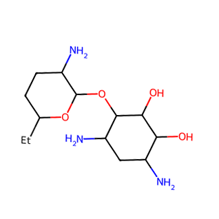 CCC1CCC(N)C(OC2C(N)CC(N)C(O)C2O)O1